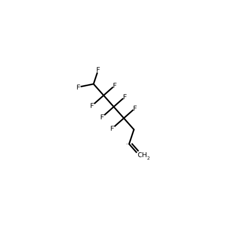 C=[C]CC(F)(F)C(F)(F)C(F)(F)C(F)F